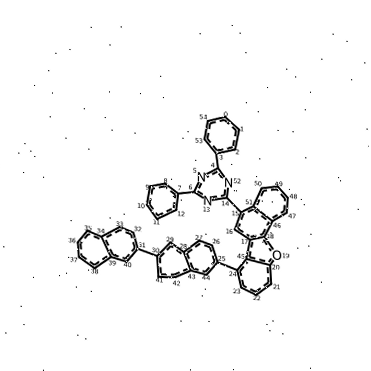 c1ccc(-c2nc(-c3ccccc3)nc(-c3cc4c(oc5cccc(-c6ccc7cc(-c8ccc9ccccc9c8)ccc7c6)c54)c4ccccc34)n2)cc1